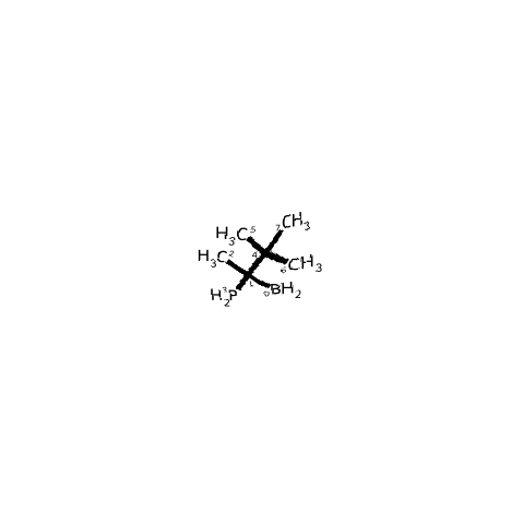 BC(C)(P)C(C)(C)C